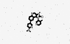 Cc1ccncc1-n1c(=O)n(C)c2cnc3ccc(-c4ccc(N(C)C)nc4)cc3c21